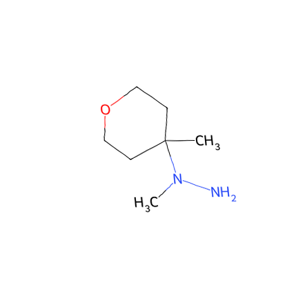 CN(N)C1(C)CCOCC1